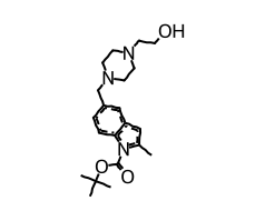 Cc1cc2cc(CN3CCN(CCO)CC3)ccc2n1C(=O)OC(C)(C)C